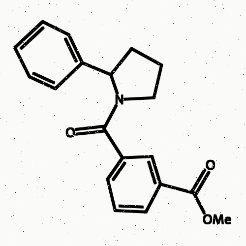 COC(=O)c1cccc(C(=O)N2CCCC2c2ccccc2)c1